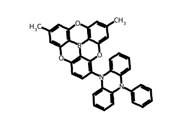 Cc1cc2c3c(c1)Oc1ccc(N4c5ccccc5N(c5ccccc5)c5ccccc54)c4c1B3c1c(cc(C)cc1O4)O2